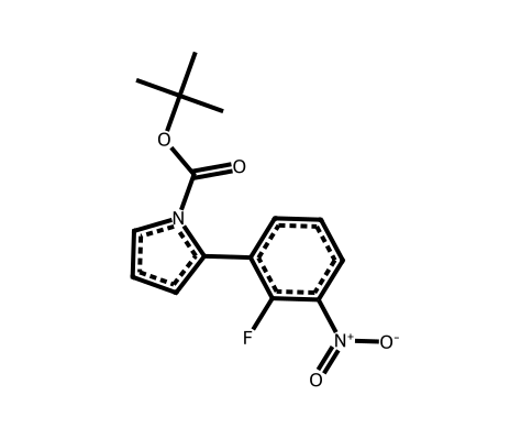 CC(C)(C)OC(=O)n1cccc1-c1cccc([N+](=O)[O-])c1F